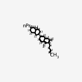 C/C=C/CCc1c(F)cc2cc([C@@H]3CC[C@@H]4CC(CCC)CCC4C3)ccc2c1F